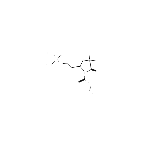 CCC1(CC)CC(CCO[Si](C)(C)C(C)(C)C)N(C(=O)OC(C)(C)C)C1=O